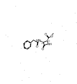 COC(=O)[C@H]1NC(=O)[C@H]1NC(=O)Cc1ccccc1